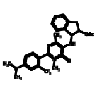 CC(=O)OC1Cc2ccccc2C1Nc1c(C)nc(-c2ccc(N(C)C)cc2C(F)(F)F)n(C)c1=O